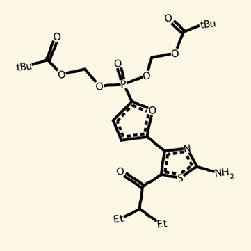 CCC(CC)C(=O)c1sc(N)nc1-c1ccc(P(=O)(OCOC(=O)C(C)(C)C)OCOC(=O)C(C)(C)C)o1